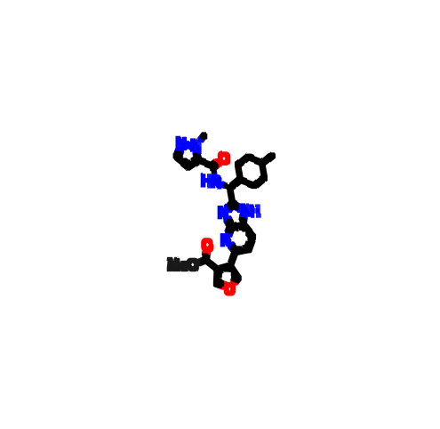 COC(=O)c1cocc1-c1ccc2[nH]c([C@@H](NC(=O)c3ccnn3C)C3CCC(C)CC3)nc2n1